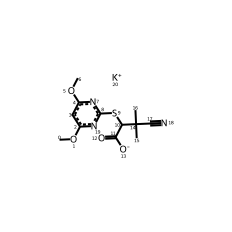 COc1cc(OC)nc(SC(C(=O)[O-])C(C)(C)C#N)n1.[K+]